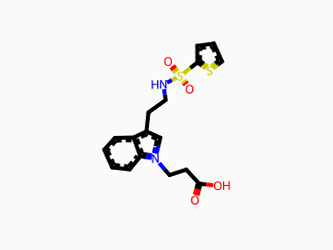 O=C(O)CCn1cc(CCNS(=O)(=O)c2cccs2)c2ccccc21